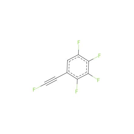 FC#Cc1cc(F)c(F)c(F)c1F